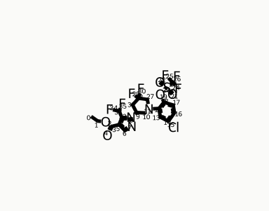 CCOC(=O)c1cnn(C2CN(c3cc(Cl)ccc3OS(=O)(=O)C(F)(F)F)CC(F)(F)C2)c1C(F)F